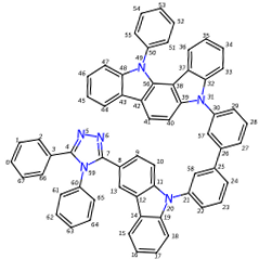 c1ccc(-c2nnc(-c3ccc4c(c3)c3ccccc3n4-c3cccc(-c4cccc(-n5c6ccccc6c6c5ccc5c7ccccc7n(-c7ccccc7)c56)c4)c3)n2-c2ccccc2)cc1